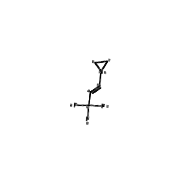 FC(F)(F)C=CN1CC1